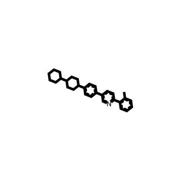 Cc1ccccc1-c1ccc(-c2ccc(C3CCC(C4CCCCC4)CC3)cc2)cn1